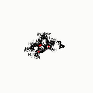 CN[C@H](CC(C)C)C(=O)N[C@H]1C(=O)N[C@@H](CC(N)=O)C(=O)N[C@H]2C(=O)N[C@H]3C(=O)N[C@H](C(=O)N[C@@H](C(=O)O)c4cc(O)cc(O)c4-c4cc3ccc4O)[C@H](O[C@H]3C[C@](C)(N)[C@@H](O)[C@H](C)O3)c3ccc(c(Cl)c3)Oc3cc2cc(c3O[C@@H]2O[C@H](CO)[C@@H](O[C@@H]3O[C@H](CNCc4ccc(-c5cc(F)cc(F)c5)s4)[C@H](O)[C@H](O)[C@H]3O)[C@H](O)[C@H]2O)Oc2ccc(cc2Cl)[C@H]1O